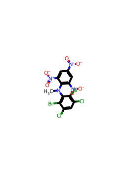 CN(c1c([N+](=O)[O-])cc([N+](=O)[O-])cc1[N+](=O)[O-])c1c(Br)c(Cl)cc(Cl)c1Br